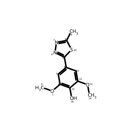 COc1cc(-c2nnc(C)s2)cc(OC)c1O